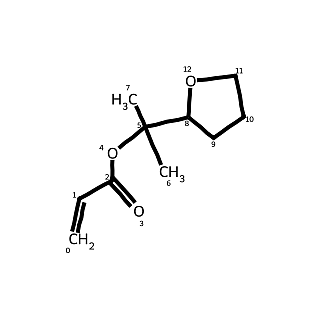 C=CC(=O)OC(C)(C)C1CCCO1